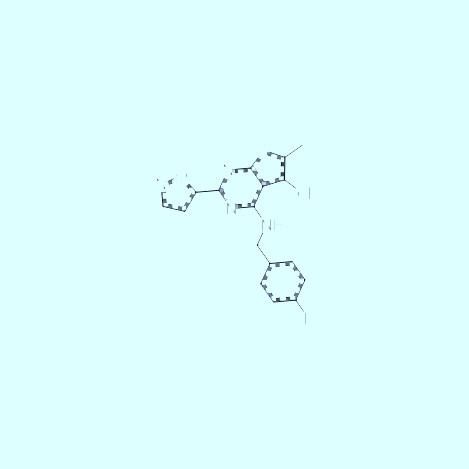 Cc1sc2nc(-c3ccno3)nc(NCc3ccc(F)cc3)c2c1Cl